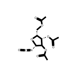 CC(=O)OC[C@H]1O[C@@H](N=C=O)C(OC(C)=O)[C@H]1OC(C)=O